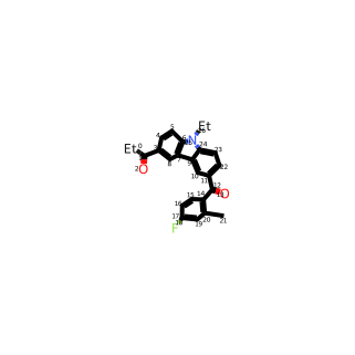 CCC(=O)c1ccc2c(c1)c1cc(C(=O)c3ccc(F)cc3C)ccc1n2CC